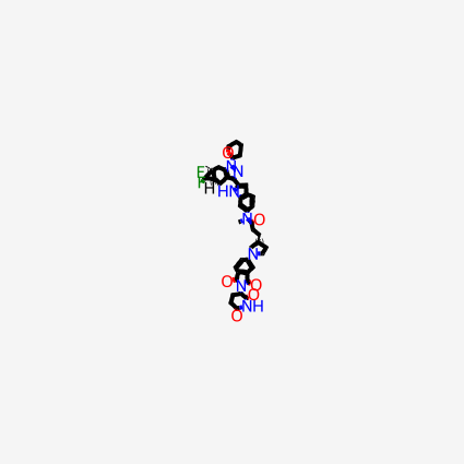 CN(C(=O)CC[C@H]1CCN(c2ccc3c(c2)C(=O)N(C2CCC(=O)NC2=O)C3=O)C1)c1ccc2cc(-c3nn(C4CCCCO4)c4c3C[C@H]3C(F)(F)[C@@]3(C)C4)[nH]c2c1